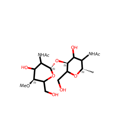 CO[C@@H]1C(CO)O[C@@H](O[C@@H]2C(CO)O[C@@H](C)C(NC(C)=O)C2O)C(NC(C)=O)C1O